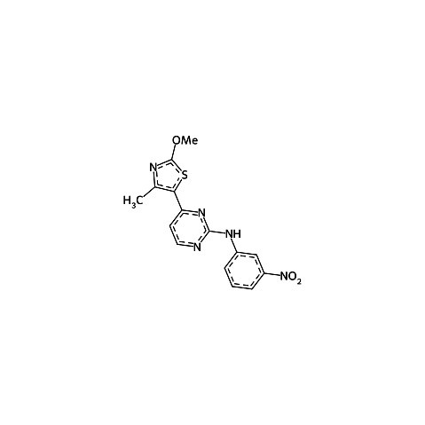 COc1nc(C)c(-c2ccnc(Nc3cccc([N+](=O)[O-])c3)n2)s1